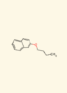 CCC[CH]Oc1ccc2ccccc2c1